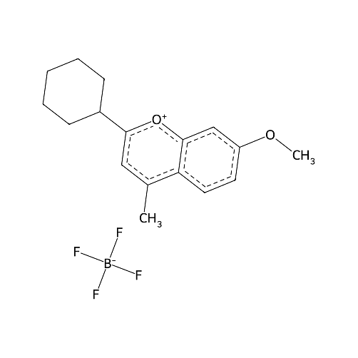 COc1ccc2c(C)cc(C3CCCCC3)[o+]c2c1.F[B-](F)(F)F